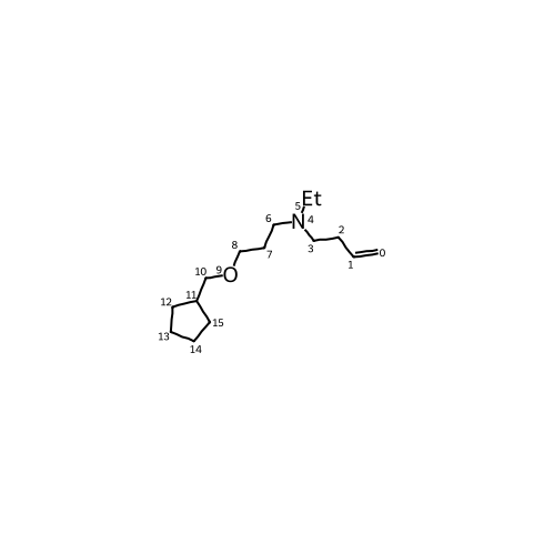 C=CCCN(CC)CCCOCC1CCCC1